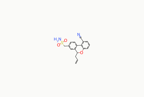 C=CCC1Oc2cccc(C#N)c2-c2ccc(CS(N)(=O)=O)cc21